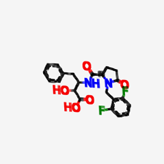 O=C(O)C(O)C(Cc1ccccc1)NC(=O)[C@H]1CCC(=O)N1Cc1c(F)cccc1F